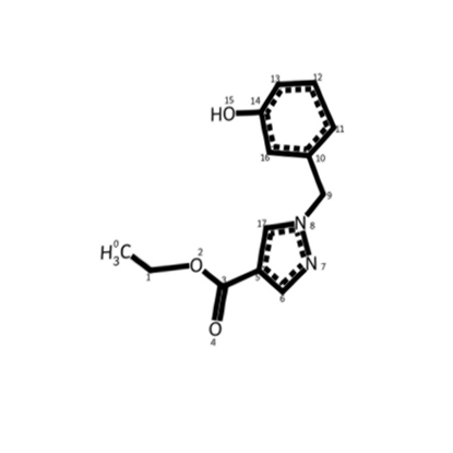 CCOC(=O)c1cnn(Cc2cccc(O)c2)c1